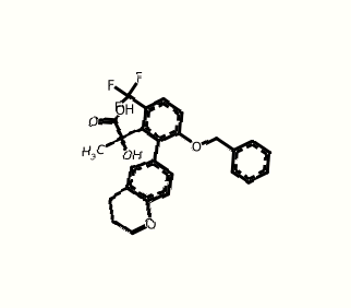 CC(O)(C(=O)O)c1c(C(F)(F)F)ccc(OCc2ccccc2)c1-c1ccc2c(c1)CCCO2